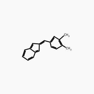 Cc1ccc(C=C2C=c3ccccc3=C2)cc1C